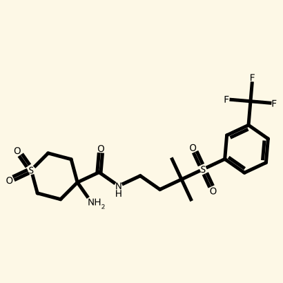 CC(C)(CCNC(=O)C1(N)CCS(=O)(=O)CC1)S(=O)(=O)c1cccc(C(F)(F)F)c1